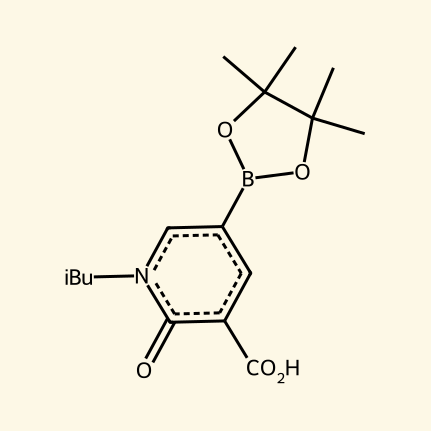 CCC(C)n1cc(B2OC(C)(C)C(C)(C)O2)cc(C(=O)O)c1=O